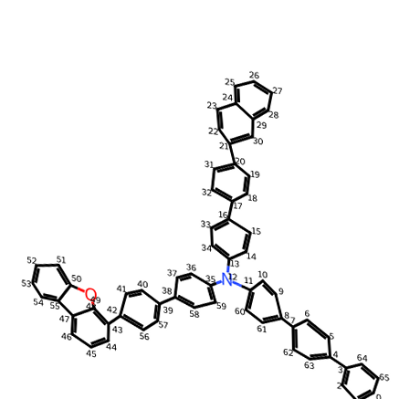 c1ccc(-c2ccc(-c3ccc(N(c4ccc(-c5ccc(-c6ccc7ccccc7c6)cc5)cc4)c4ccc(-c5ccc(-c6cccc7c6oc6ccccc67)cc5)cc4)cc3)cc2)cc1